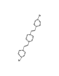 Brc1ccc(C=Cc2ccc(C=Cc3ccc(Br)cc3)cc2)cc1